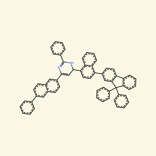 C1=C(c2ccc3cc(-c4ccccc4)ccc3c2)N=C(c2ccccc2)NC1c1ccc(-c2ccc3c(c2)C(c2ccccc2)(c2ccccc2)c2ccccc2-3)c2ccccc12